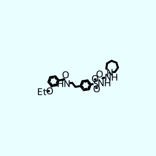 CCOc1cccc(C(=O)NCCc2ccc(S(=O)(=O)NC(=O)NN3CCCCCC3)cc2)c1